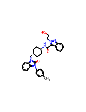 Cc1ccc(-n2c(=O)n(C[C@H]3CC[C@H](NC(=O)c4c5ccccc5nn4CCO)CC3)c3ccccc32)cc1